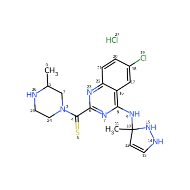 CC1CN(C(=S)c2nc(NC3(C)C=CNN3)c3cc(Cl)ccc3n2)CCN1.Cl